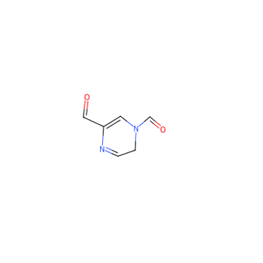 O=CC1=CN(C=O)CC=N1